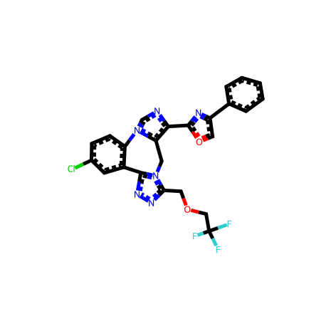 FC(F)(F)COCc1nnc2n1Cc1c(-c3nc(-c4ccccc4)co3)ncn1-c1ccc(Cl)cc1-2